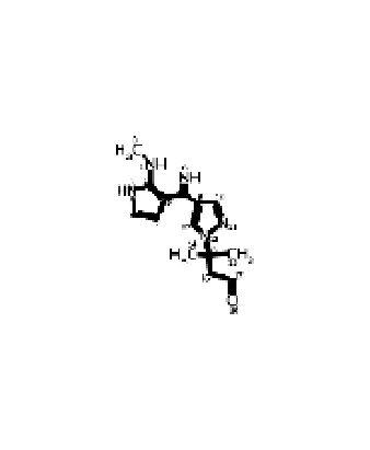 CNc1[nH]ccc1C(=N)c1cnn(C(C)(C)CC=O)c1